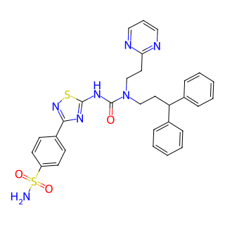 NS(=O)(=O)c1ccc(-c2nsc(NC(=O)N(CCc3ncccn3)CCC(c3ccccc3)c3ccccc3)n2)cc1